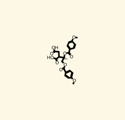 COc1ccc(C(=O)OC[C@](C)(OC(=O)c2ccc(OC)cc2)C(CC(=O)O)C(=O)O)cc1